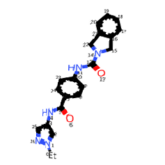 CCn1cc(NC(=O)c2ccc(NC(=O)N3Cc4ccccc4C3)cc2)cn1